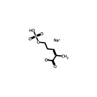 CC(=CCCOS(=O)(=O)O)C(=O)[O-].[Na+]